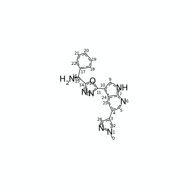 Cn1cc(-c2cnc3[nH]cc(-c4nnc([C@@H](N)c5ccccc5)o4)c3c2)cn1